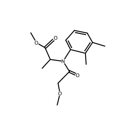 COCC(=O)N(c1cccc(C)c1C)C(C)C(=O)OC